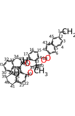 C=Cc1ccc2cc(OOC[C@@](C)(c3ccccc3)C3Oc4ccc5c(c4[C@H]4c6ccccc6CC[C@H]4O3)CCCC5)ccc2c1